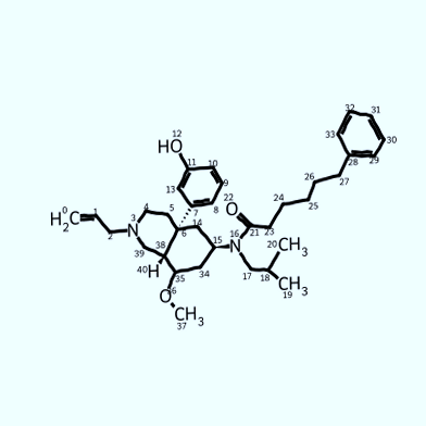 C=CCN1CC[C@@]2(c3cccc(O)c3)C[C@@H](N(CC(C)C)C(=O)CCCCCc3ccccc3)CC(OC)[C@@H]2C1